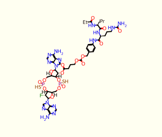 CCC(=O)N[C@H](C(=O)N[C@@H](CCCNC(N)=O)C(=O)Nc1ccc(COC(=O)OCCCC(=O)O[C@@H]2[C@@H]3O[P@](=O)(S)OC[C@H]4O[C@@H](n5cnc6c(N)ncnc65)[C@H](F)[C@@H]4O[P@](=O)(S)OC[C@H]3O[C@H]2n2cnc3c(N)ncnc32)cc1)C(C)C